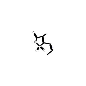 C/C=C\C1=C(C)C(=O)NS1(=O)=O